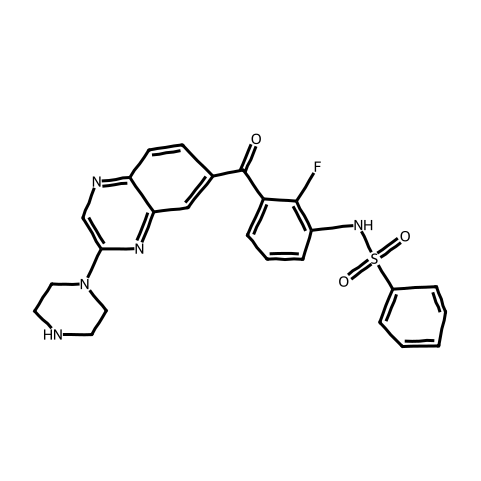 O=C(c1ccc2ncc(N3CCNCC3)nc2c1)c1cccc(NS(=O)(=O)c2ccccc2)c1F